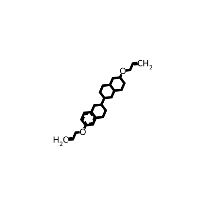 C=CCOc1ccc2c(c1)CCC(C1CCC3CC(OCC=C)CCC3C1)C2